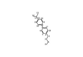 CCCCc1ccc(-c2ccc(C(C)C)cc2)cc1